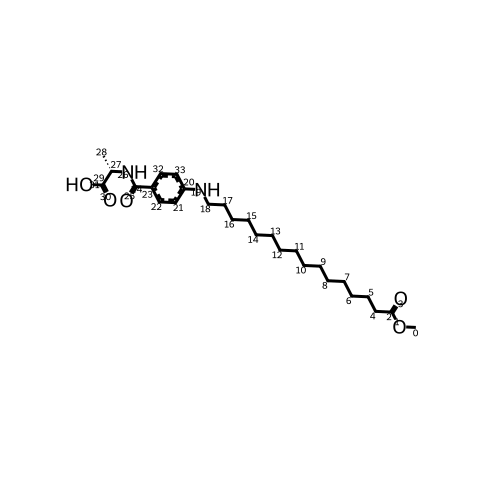 COC(=O)CCCCCCCCCCCCCCCNc1ccc(C(=O)N[C@@H](C)C(=O)O)cc1